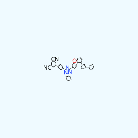 N#Cc1cc(C#N)cc(-c2ccc(-c3nc(-c4ccccc4)nc(-c4ccc5c(c4)oc4cccc(-c6cccc(-c7ccccc7)c6)c45)n3)cc2)c1